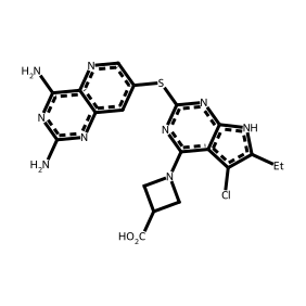 CCc1[nH]c2nc(Sc3cnc4c(N)nc(N)nc4c3)nc(N3CC(C(=O)O)C3)c2c1Cl